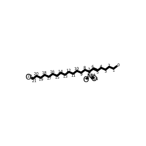 CCCCC/C=C/C(CCCCCCCCCCCCC[C]=O)[N+](=O)[O-]